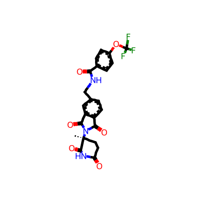 C[C@]1(N2C(=O)c3ccc(CNC(=O)c4ccc(OC(F)(F)F)cc4)cc3C2=O)CCC(=O)NC1=O